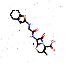 CC1=C(C(=O)O)N2C(=O)C(NC(=O)CNc3cc4c(s3)CCCC4)[C@@H]2SC1